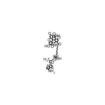 CC1C[C@H](n2cnc3c(N)ncnc32)O[C@@H]1COP(=O)(O)OCCCCCCNC(=O)c1cc(Cl)c(C(=O)O)c(-c2c3cc(Cl)c(=O)cc-3oc3cc(O)c(Cl)cc23)c1Cl